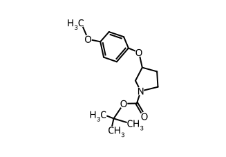 COc1ccc(OC2CCN(C(=O)OC(C)(C)C)C2)cc1